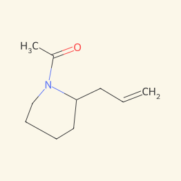 C=CCC1CCCCN1C(C)=O